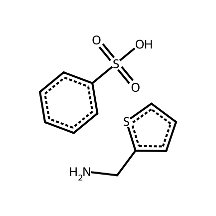 NCc1cccs1.O=S(=O)(O)c1ccccc1